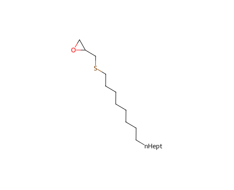 CCCCCCCCCCCCCCCSCC1CO1